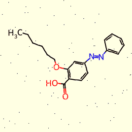 CCCCCCOc1cc(N=Nc2ccccc2)ccc1C(=O)O